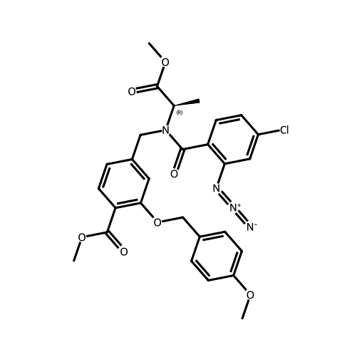 COC(=O)c1ccc(CN(C(=O)c2ccc(Cl)cc2N=[N+]=[N-])[C@H](C)C(=O)OC)cc1OCc1ccc(OC)cc1